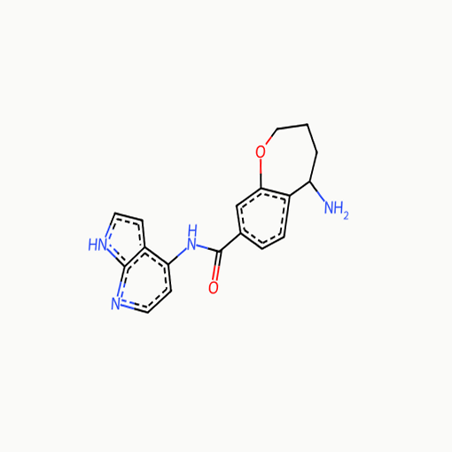 NC1CCCOc2cc(C(=O)Nc3ccnc4[nH]ccc34)ccc21